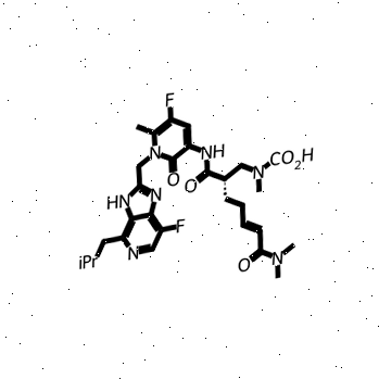 Cc1c(F)cc(NC(=O)[C@@H](CC/C=C/C(=O)N(C)C)CN(C)C(=O)O)c(=O)n1Cc1nc2c(F)cnc(CC(C)C)c2[nH]1